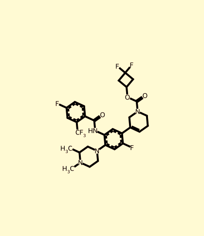 CC1CN(c2cc(F)c(C3=CCCN(C(=O)OC4CC(F)(F)C4)C3)cc2NC(=O)c2ccc(F)cc2C(F)(F)F)CCN1C